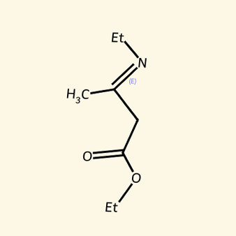 CC/N=C(\C)CC(=O)OCC